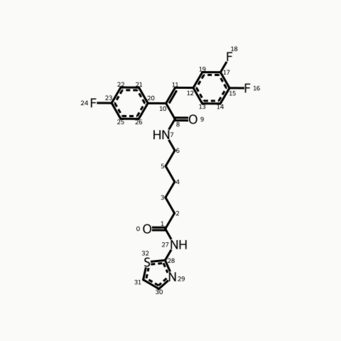 O=C(CCCCCNC(=O)/C(=C\c1ccc(F)c(F)c1)c1ccc(F)cc1)Nc1nccs1